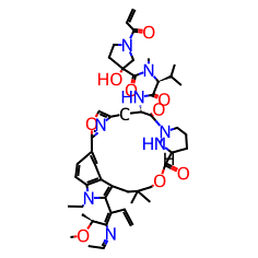 C=CC(=O)N1CCC(O)(C(=O)N(C)[C@H](C(=O)N[C@H]2Cc3coc(n3)-c3ccc4c(c3)c(c(/C(C=C)=C(/N=C\C)[C@H](C)OC)n4CC)CC(C)(C)COC(=O)[C@@H]3CCCN(N3)C2=O)C(C)C)C1